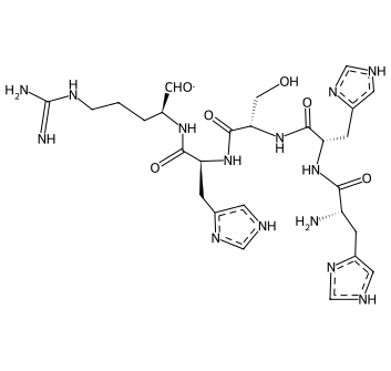 N=C(N)NCCC[C@@H]([C]=O)NC(=O)[C@H](Cc1c[nH]cn1)NC(=O)[C@H](CO)NC(=O)[C@H](Cc1c[nH]cn1)NC(=O)[C@@H](N)Cc1c[nH]cn1